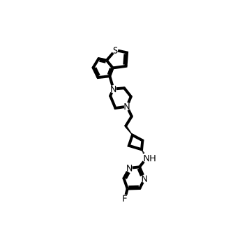 Fc1cnc(N[C@H]2C[C@H](CCN3CCN(c4cccc5sccc45)CC3)C2)nc1